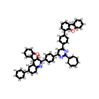 C1=CC=C(c2nc(-c3ccc(-c4cccc5c4oc4ccccc45)cc3)cc(-c3ccc(-c4nc5ccc(-c6ccccc6)cc5c5c4oc4ccccc45)cc3)n2)CC=C1